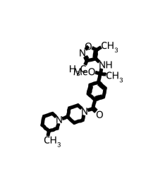 COC(C)(Nc1c(C)noc1C)c1ccc(C(=O)N2CCC(N3CCCC(C)C3)CC2)cc1